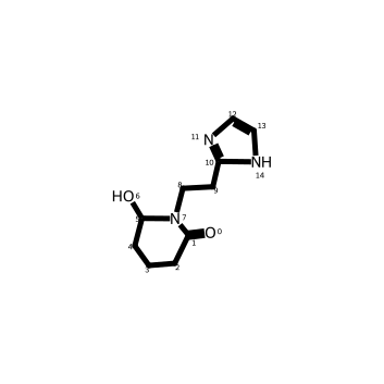 O=C1CCCC(O)N1CCc1ncc[nH]1